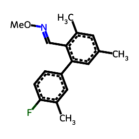 CO/N=C/c1c(C)cc(C)cc1-c1ccc(F)c(C)c1